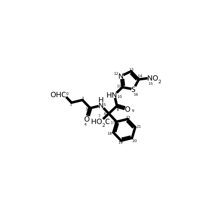 O=CCCC(=O)NC(C(=O)O)(C(=O)Nc1ncc([N+](=O)[O-])s1)c1ccccc1